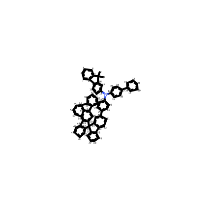 CC1(C)c2ccccc2-c2ccc(N(c3ccc(-c4ccccc4)cc3)c3ccc(-c4ccc5c(c4)C4(c6ccccc6-5)c5ccccc5-c5c4cc4c6c(cccc56)-c5ccccc5-4)cc3)cc21